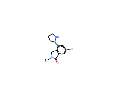 CCN1Cc2c(cc(Cl)cc2C2CCCN2)C1=O